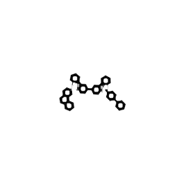 c1ccc(-c2ccc(-n3c4ccccc4c4cc(-c5ccc6c(c5)c5ccccc5n6-c5ccc6ccc7ccccc7c6c5)ccc43)cc2)cc1